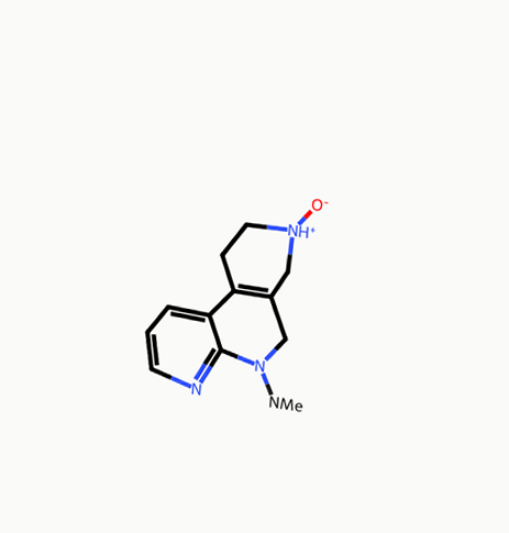 CNN1CC2=C(CC[NH+]([O-])C2)c2cccnc21